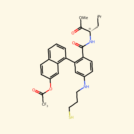 COC(=O)[C@H](CC(C)C)NC(=O)c1ccc(NCCCS)cc1-c1cccc2ccc(OC(=O)C(F)(F)F)cc12